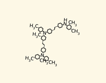 Cc1ccc(N(c2ccc(/C=C/c3ccc(N(c4ccc(/C=C/c5ccc(Nc6ccc(C)cc6C)cc5)cc4)c4ccc(C)cc4C)cc3)cc2)c2ccc(C)cc2C)cc1